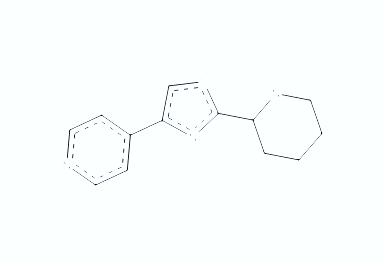 c1cc(-c2csc(C3CCCCN3)n2)ccn1